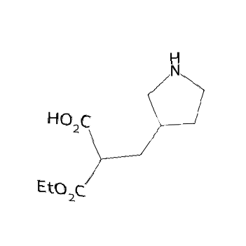 CCOC(=O)C(CC1CCNC1)C(=O)O